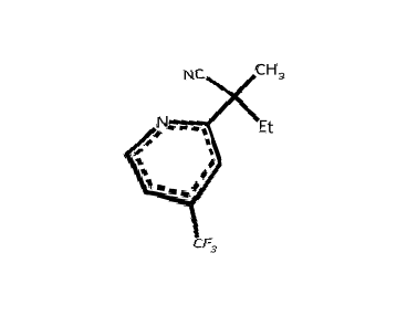 CCC(C)(C#N)c1cc(C(F)(F)F)ccn1